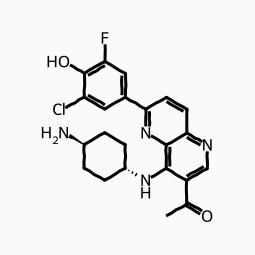 CC(=O)c1cnc2ccc(-c3cc(F)c(O)c(Cl)c3)nc2c1N[C@H]1CC[C@H](N)CC1